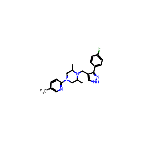 CC1CN(c2ccc(C(F)(F)F)cn2)CC(C)N1Cc1c[nH]nc1-c1ccc(F)cc1